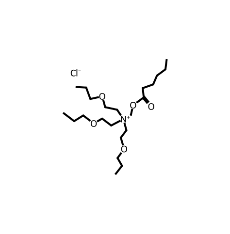 CCCCCC(=O)OC[N+](CCOCCC)(CCOCCC)CCOCCC.[Cl-]